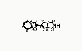 C1=C(c2cc3ccccc3o2)CC2CNCC12